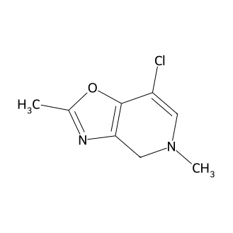 Cc1nc2c(o1)C(Cl)=CN(C)C2